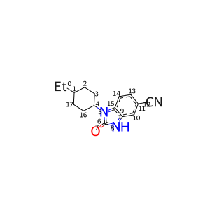 CCC1CCC(n2c(=O)[nH]c3cc(C#N)ccc32)CC1